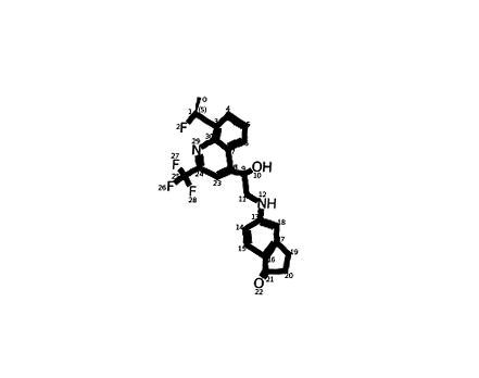 C[C@H](F)c1cccc2c(C(O)CNc3ccc4c(c3)CCC4=O)cc(C(F)(F)F)nc12